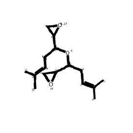 CC(C)=CCC(OC(CC=C(C)C)C1CO1)C1CO1